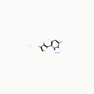 COc1csc(-c2ccc(Br)c3nsnc23)c1OC